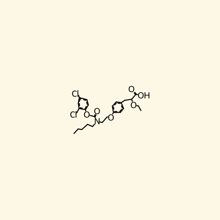 CCCCCN(CCOc1ccc(CC(OCC)C(=O)O)cc1)C(=O)Oc1ccc(Cl)cc1Cl